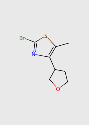 Cc1sc(Br)nc1C1CCOC1